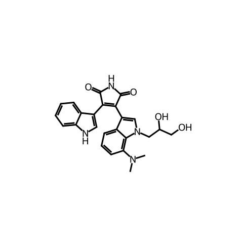 CN(C)c1cccc2c(C3=C(c4c[nH]c5ccccc45)C(=O)NC3=O)cn(CC(O)CO)c12